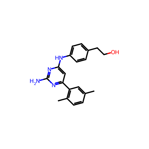 Cc1ccc(C)c(-c2cc(Nc3ccc(CCO)cc3)nc(N)n2)c1